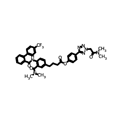 CN(C)C(=O)Cn1nnc(-c2ccc(OC(=O)CCCc3ccc(NC(=O)c4ccccc4-c4ccc(C(F)(F)F)cc4)c(C(=O)N(C)C)c3)cc2)n1